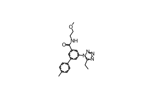 CCc1nnnn1-c1cc(C(=O)NCCOC)cc(-c2ccc(C)cc2)c1